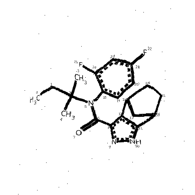 CCC(C)(C)N(C(=O)c1n[nH]c2c1C1CCC2C1)c1ccc(F)cc1F